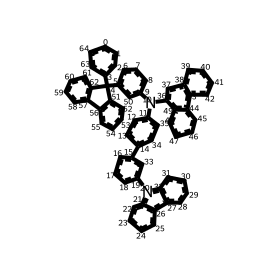 c1ccc(C2(c3cccc(N(c4ccc(-c5cccc(-n6c7ccccc7c7ccccc76)c5)cc4)c4cc5ccccc5c5ccccc45)c3)c3ccccc3-c3ccccc32)cc1